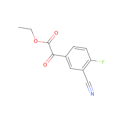 CCOC(=O)C(=O)c1ccc(F)c(C#N)c1